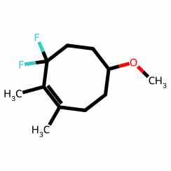 COC1CC/C(C)=C(/C)C(F)(F)CC1